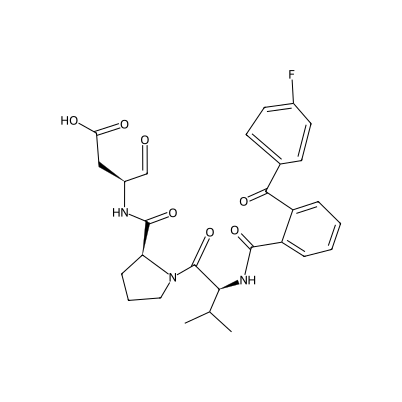 CC(C)[C@H](NC(=O)c1ccccc1C(=O)c1ccc(F)cc1)C(=O)N1CCC[C@H]1C(=O)N[C@H](C=O)CC(=O)O